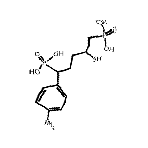 Nc1ccc(C(CCC(S)CP(=O)(O)O)P(=O)(O)O)cc1